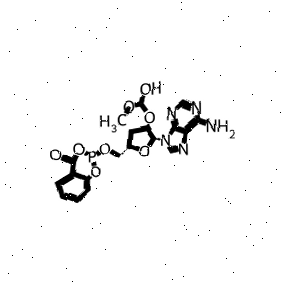 COC(O)O[C@H]1C[C@@H](COP2OC(=O)c3ccccc3O2)O[C@H]1n1cnc2c(N)ncnc21